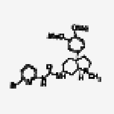 COc1ccc([C@@]23CC[C@@H](NC(=O)Nc4cccc(Br)n4)C[C@@H]2N(C)CC3)cc1OC